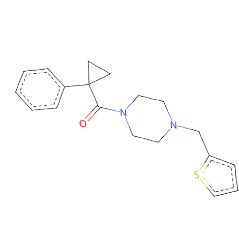 O=C(N1CCN(Cc2cccs2)CC1)C1(c2ccccc2)CC1